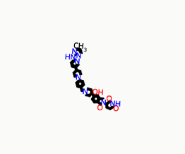 Cc1ccnc(Nc2ccc(C3CCN(c4ccc(CN5CCC(O)(c6ccc7c(c6)CN(C6CCC(=O)NC6=O)C7=O)CC5)cc4)CC3)cn2)n1